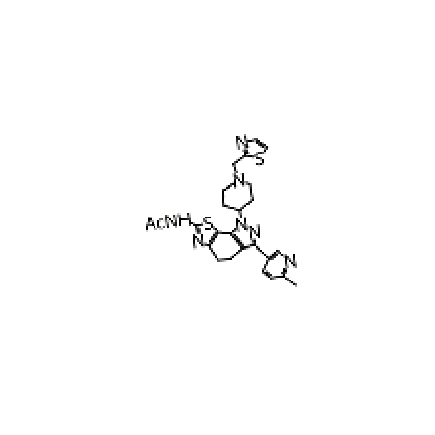 CC(=O)Nc1nc2c(s1)-c1c(c(-c3ccc(C)nc3)nn1C1CCN(Cc3nccs3)CC1)CC2